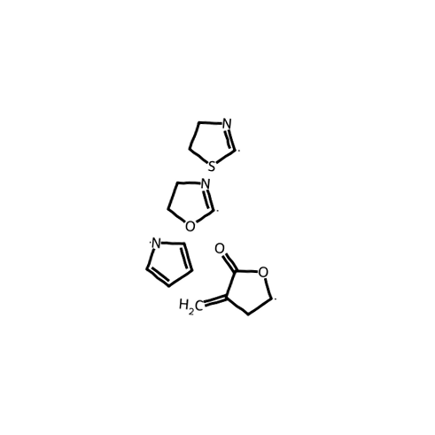 C1=C[N]C=C1.C=C1C[CH]OC1=O.[C]1=NCCO1.[C]1=NCCS1